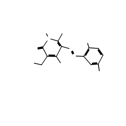 CCn1c(O)c(N=Nc2cc(C)ccc2S(=O)(=O)O)c(C)c(CS(=O)(=O)O)c1=O